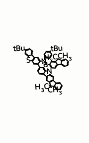 CC(C)(C)c1ccc(N2B3c4cc5c(cc4-n4c6cc7c(cc6c6ccc(c3c64)-c3cc4sc6cc(C(C)(C)C)ccc6c4cc32)C(C)(C)c2ccccc2-7)-c2ccccc2C5(C)C)cc1